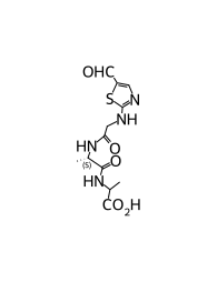 CC(NC(=O)[C@H](C)NC(=O)CNc1ncc(C=O)s1)C(=O)O